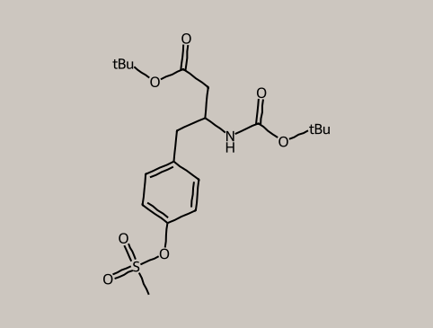 CC(C)(C)OC(=O)CC(Cc1ccc(OS(C)(=O)=O)cc1)NC(=O)OC(C)(C)C